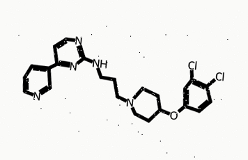 Clc1ccc(OC2CCN(CCCNc3nccc(-c4cccnc4)n3)CC2)cc1Cl